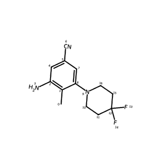 Cc1c(N)cc(C#N)cc1N1CCC(F)(F)CC1